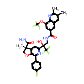 Cc1cc2cc(C(=O)NCC(O)(c3cc4c(c(-c5ccc(F)cc5)n3)OC[C@]4(C)C(N)=O)C(F)(F)F)cc(OC(F)(F)F)c2nc1C